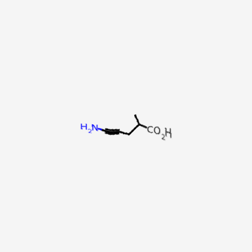 CC(CC#CN)C(=O)O